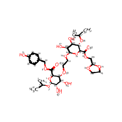 CC(C)O[C@@H]1OC(C(=O)OCc2ccc(O)cc2)[C@@H](OCCO[C@@H]2OC(C(=O)OCC3OCCO3)[C@@H](OC(C)C)[C@H](O)[C@@H]2O)[C@H](O)[C@@H]1O